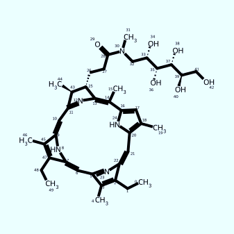 CCC1=C(C)c2cc3[nH]c(cc4nc(c(C)c5cc(C)c(cc1n2)[nH]5)[C@@H](CCC(=O)N(C)C[C@H](O)[C@@H](O)[C@H](O)[C@H](O)CO)[C@@H]4C)c(C)c3CC